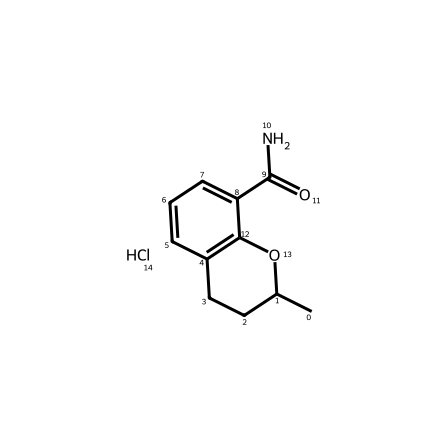 CC1CCc2cccc(C(N)=O)c2O1.Cl